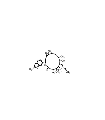 C=CCC[C@H]1C(=O)C(C)(C)[C@@H](O)CC(=O)N[C@H](c2ccc3sc(C)nc3c2)CC2OC2(C)CCC[C@H](C)[C@H]1O